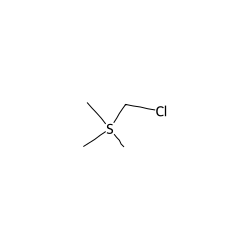 CS(C)(C)CCl